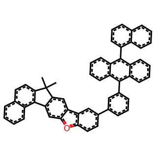 CC1(C)c2cc3c(cc2-c2c1ccc1ccccc21)oc1ccc(-c2cccc(-c4c5ccccc5c(-c5cccc6ccccc56)c5ccccc45)c2)cc13